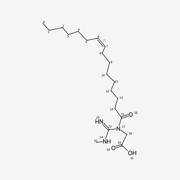 CCCCCC/C=C\CCCCCCCC(=O)N(CC(=O)O)C(=N)NC